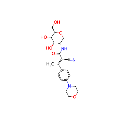 C/C(=C(/C#N)C(=O)N[C@H]1CO[C@H](CO)[C@@H](O)[C@@H]1O)c1ccc(N2CCOCC2)cc1